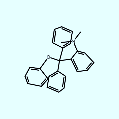 CN(C)c1ccccc1C(Oc1ccccc1)(c1ccccc1)c1ccccc1